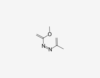 C=C(C)/N=N\C(=C)OC